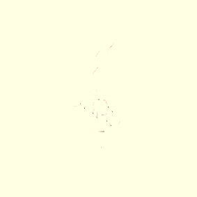 C=C/C=C\C=C(/C)COc1cnc(N(C(=O)OC(C)(C)C)C(=O)OC(C)(C)C)nc1NCCCC